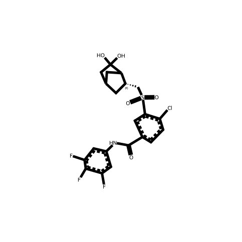 O=C(Nc1cc(F)c(F)c(F)c1)c1ccc(Cl)c(S(=O)(=O)C[C@@H]2CC3CC2C(O)(O)C3)c1